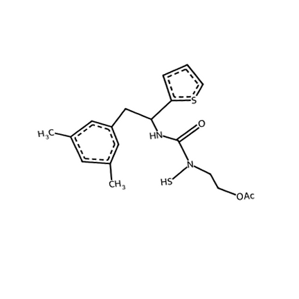 CC(=O)OCCN(S)C(=O)NC(Cc1cc(C)cc(C)c1)c1cccs1